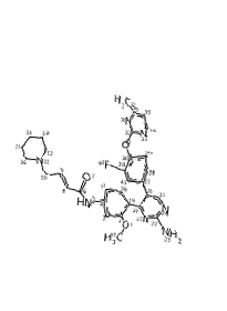 COc1cc(NC(=O)/C=C/CN2CCCCC2)ccc1-c1nc(N)ncc1-c1ccc(Oc2nccc(C)n2)c(F)c1